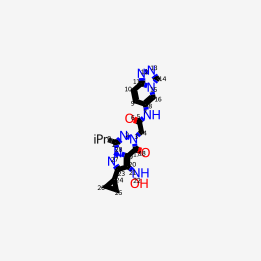 CC(C)c1nn(CC(=O)Nc2ccc3nncn3c2)c(=O)c2c(NO)c(C3CC3)nn12